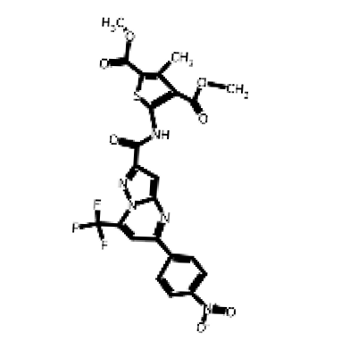 COC(=O)c1sc(NC(=O)c2cc3nc(-c4ccc([N+](=O)[O-])cc4)cc(C(F)(F)F)n3n2)c(C(=O)OC)c1C